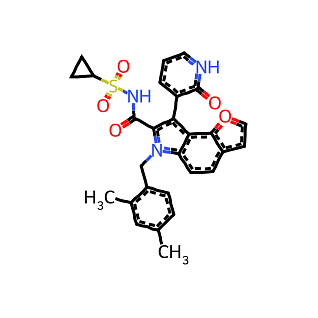 Cc1ccc(Cn2c(C(=O)NS(=O)(=O)C3CC3)c(-c3ccc[nH]c3=O)c3c4occc4ccc32)c(C)c1